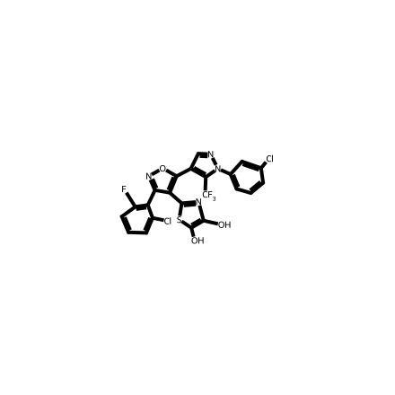 Oc1nc(-c2c(-c3c(F)cccc3Cl)noc2-c2cnn(-c3cccc(Cl)c3)c2C(F)(F)F)sc1O